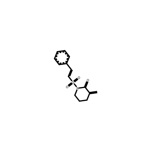 C=C1CCCN(S(=O)(=O)/C=C/c2ccccc2)C1=O